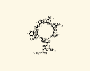 CCCCCCC[C@@H](O)CC(=O)N[C@@H](CCN)C(=O)N[C@@H]1CCNC(=O)[C@H](CC(C)C)NC(=O)[C@H](CCN)NC(=O)[C@H](CCN)NC(=O)[C@H](CC(C)C)NC(=O)[C@@H](Cc2ccccc2)NC(=O)[C@H](CCN)NC1=O